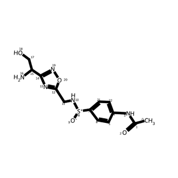 CC(=O)Nc1ccc([S+]([O-])NCc2nc(C(N)CO)no2)cc1